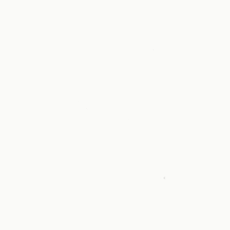 CCCCCCCCc1ccccc1C#CC(SCCCC(=O)O)SCCCC(=O)O